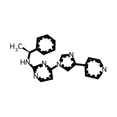 C[C@H](Nc1nccc(-n2cnc(-c3ccncc3)c2)n1)c1ccccc1